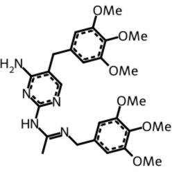 COc1cc(C/N=C(\C)Nc2ncc(Cc3cc(OC)c(OC)c(OC)c3)c(N)n2)cc(OC)c1OC